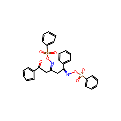 O=C(CC(CC(=NOS(=O)(=O)c1ccccc1)c1ccccc1)=NOS(=O)(=O)c1ccccc1)c1ccccc1